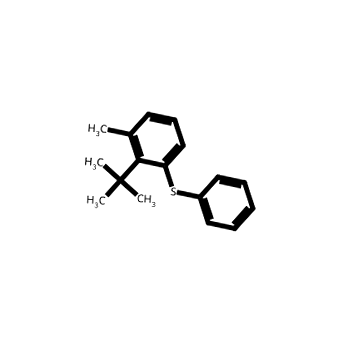 Cc1cccc(Sc2ccccc2)c1C(C)(C)C